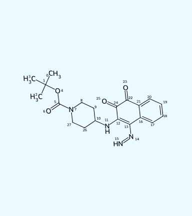 CC(C)(C)OC(=O)N1CCC(NC2=C(N=N)c3ccccc3C(=O)C2=O)CC1